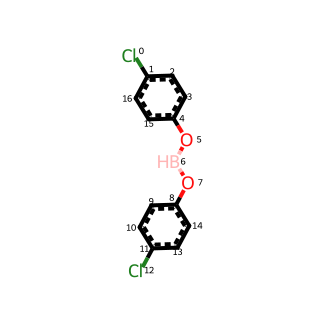 Clc1ccc(OBOc2ccc(Cl)cc2)cc1